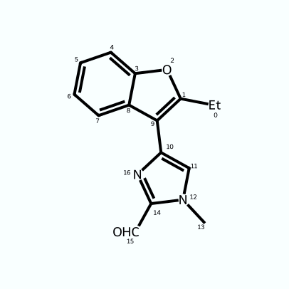 CCc1oc2ccccc2c1-c1cn(C)c(C=O)n1